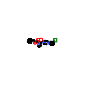 O=C(C1CCCN1C(=O)OCc1ccccc1)N1CCN(c2cccc(Cl)c2)CC1